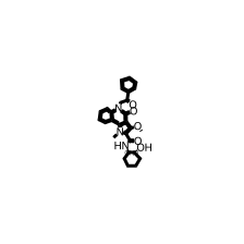 COc1c(C(=O)N[C@@H]2CCCC[C@H]2O)n(C)c2c1c(=O)n(CC(=O)c1ccccc1)c1ccccc21